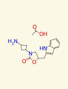 CC(=O)O.NC1CC(N2CC(Cc3cc4ccccc4[nH]3)OC2=O)C1